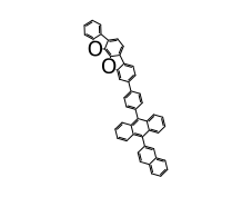 c1ccc2cc(-c3c4ccccc4c(-c4ccc(-c5ccc6c(c5)oc5c6ccc6c7ccccc7oc65)cc4)c4ccccc34)ccc2c1